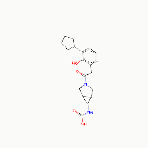 O=C(O)NC1C2CN(C(=O)Cc3cccc(C4CCCC4)c3O)CC21